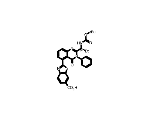 CC[C@H](NC(=O)OC(C)(C)C)c1nc2cccc(-c3nc4ccc(C(=O)O)cc4s3)c2c(=O)n1-c1ccccc1